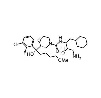 COCCCC[C@@](O)(c1cccc(Cl)c1F)[C@H]1CN(C(=O)N[C@@H](CC2CCCCC2)[C@H](O)CN)CCO1